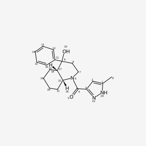 Cc1cc(C(=O)N2CCC(O)(c3ccccc3)[C@H]3CCCC[C@H]32)n[nH]1